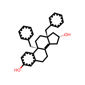 Oc1ccc2c(c1)CCC1=C3C[C@@H](O)C[C@@]3(Cc3ccccc3)CC[C@@]12Cc1ccccc1